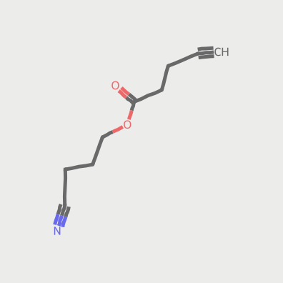 C#CCCC(=O)OCCCC#N